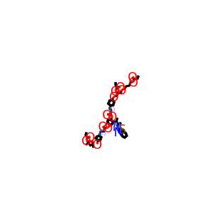 C=CC(=O)OCCCCOCC(COc1ccc(/C=C/C(=O)Oc2ccc(OC(=O)/C=C/c3ccc(OC(C)(C)CC(C)(C)OC(=O)C=C)cc3)cc2C(C)/C(C)=N/c2nc3ccccc3s2)cc1)OC(=O)C=C